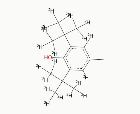 [2H]c1c(C)c([2H])c(C(C([2H])([2H])[2H])(C([2H])([2H])[2H])C([2H])([2H])[2H])c(O)c1C(C([2H])([2H])[2H])(C([2H])([2H])[2H])C([2H])([2H])[2H]